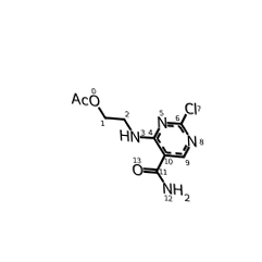 CC(=O)OCCNc1nc(Cl)ncc1C(N)=O